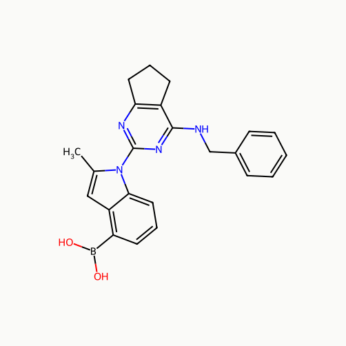 Cc1cc2c(B(O)O)cccc2n1-c1nc2c(c(NCc3ccccc3)n1)CCC2